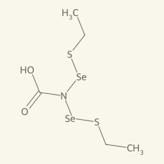 CCS[Se]N([Se]SCC)C(=O)O